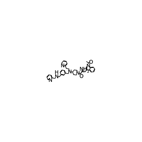 CC(=O)n1cc(C[C@H](N)C(=O)N2CCC(N(CCc3ccccn3)Cc3cccc(CNCc4ccccn4)c3)CC2)c2ccccc21